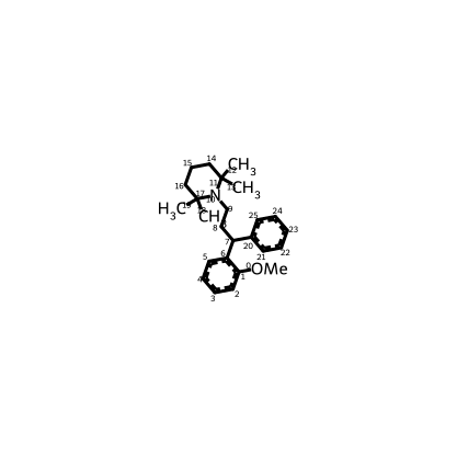 COc1ccccc1C(CCN1C(C)(C)CCCC1(C)C)c1ccccc1